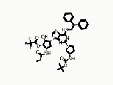 CCC(=O)N[C@H]1C[C@@H](n2cnc3c(NCC(c4ccccc4)c4ccccc4)nc(N4CC[C@@H](NC(=O)OC(C)(C)C)C4)nc32)[C@H](O)[C@@H]1OC(=O)C(F)(F)F